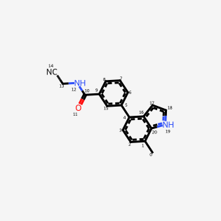 Cc1ccc(-c2cccc(C(=O)NCC#N)c2)c2cc[nH]c12